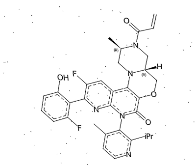 C=CC(=O)N1C[C@@H]2COc3c(c4cc(F)c(-c5c(O)cccc5F)nc4n(-c4c(C)ccnc4C(C)C)c3=O)N2C[C@H]1C